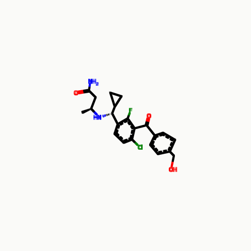 C[C@@H](CC(N)=O)N[C@@H](c1ccc(Cl)c(C(=O)c2ccc(CO)cc2)c1F)C1CC1